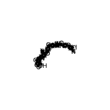 CC[C@@]1(O)C(=O)OCc2c1cc1n(c2=O)Cc2cc3c(CN(C)C)c(OC(=O)N4CCN(C(=O)C5CCN(c6ccc(C(=O)N[C@H]7CC[C@H](Oc8ccc(C#N)c(Cl)c8)CC7)nn6)CC5)CC4)ccc3nc2-1